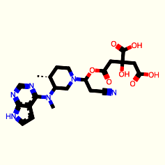 C[C@@H]1CCN(C(CC#N)OC(=O)CC(O)(CC(=O)O)C(=O)O)CC1N(C)c1ncnc2[nH]ccc12